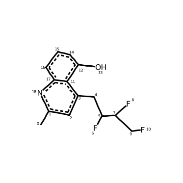 Cc1cc(CC(F)C(F)CF)c2c(O)cccc2n1